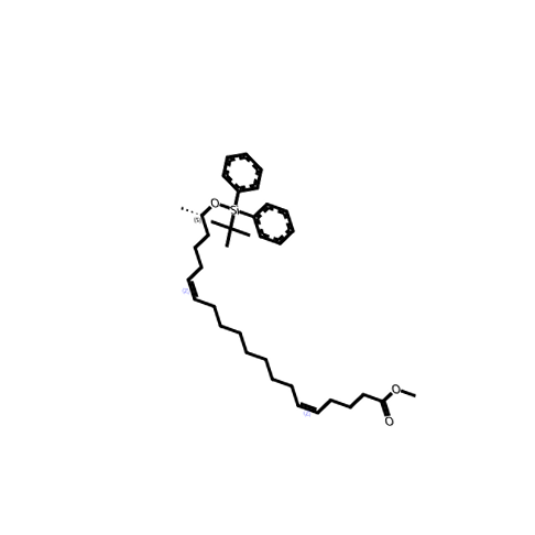 COC(=O)CCC/C=C\CCCCCCC/C=C\CCC[C@H](C)O[Si](c1ccccc1)(c1ccccc1)C(C)(C)C